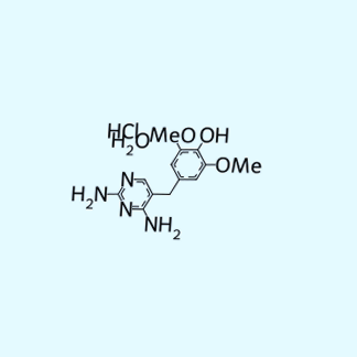 COc1cc(Cc2cnc(N)nc2N)cc(OC)c1O.Cl.O